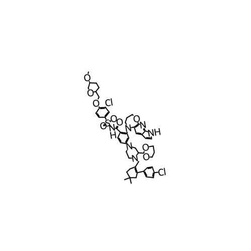 CO[C@H]1CCC(COc2ccc(S(=O)(=O)NC(=O)c3ccc(N4CCN(CC5=C(c6ccc(Cl)cc6)CC(C)(C)CC5)C(C5OCCCO5)C4)cc3N3CCCOc4nc5[nH]ccc5cc43)cc2Cl)OC1